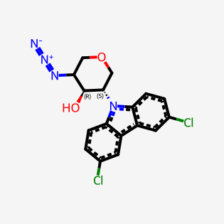 [N-]=[N+]=NC1COC[C@H](n2c3ccc(Cl)cc3c3cc(Cl)ccc32)[C@H]1O